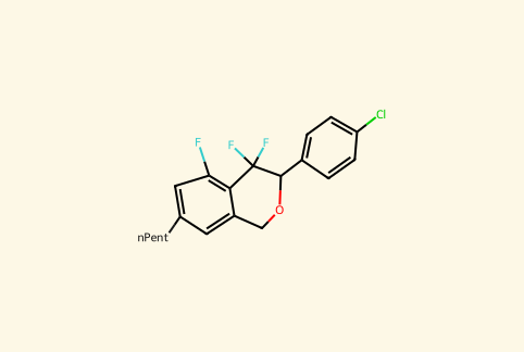 CCCCCc1cc(F)c2c(c1)COC(c1ccc(Cl)cc1)C2(F)F